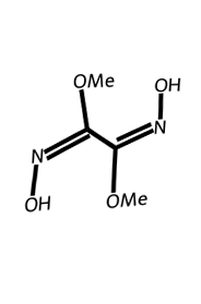 COC(=N/O)/C(=N\O)OC